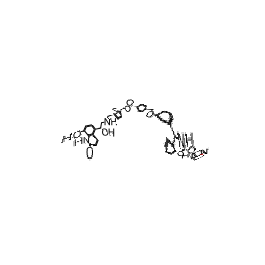 O=C(NC(c1ccccc1)c1cccc(OCc2ccc(C(=O)OCc3ccc(CNC[C@@H](O)c4ccc(O)c5[nH]c(=O)ccc45)s3)cc2)c1)O[C@H]1CN2CCC1CC2